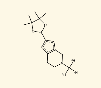 [2H]C([2H])([2H])N1CCc2sc(B3OC(C)(C)C(C)(C)O3)cc2C1